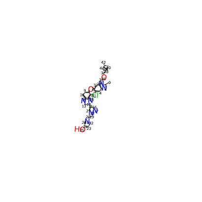 Cc1nc2ccc(Oc3ccc4ncc(-c5cnn(CCN6CCC(O)C6)c5)nc4c3Cl)cc2n1COCC[Si](C)(C)C